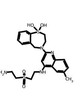 Cc1ccc2nc(N3CCS(O)(O)c4ccccc4C3)cc(NCCS(=O)(=O)CCN)c2c1